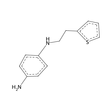 Nc1ccc(NCCc2cccs2)cc1